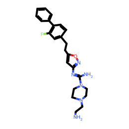 NCCN1CCN(C(N)=Nc2cc(CCc3ccc(-c4ccccc4)c(F)c3)on2)CC1